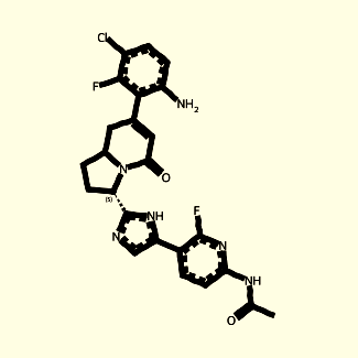 CC(=O)Nc1ccc(-c2cnc([C@@H]3CCC4CC(c5c(N)ccc(Cl)c5F)=CC(=O)N43)[nH]2)c(F)n1